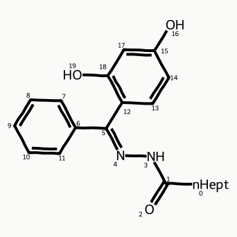 CCCCCCCC(=O)N/N=C(/c1ccccc1)c1ccc(O)cc1O